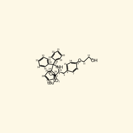 CC(C)(C)OC(=O)[C@H](Cc1ccc(OCCO)cc1)NC(c1ccccc1)(c1ccccc1)c1ccccc1